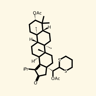 CC(=O)OC(C1SCCCS1)[C@@]12CC[C@]3(C)[C@H](CC[C@@H]4[C@@]5(C)CC[C@H](OC(C)=O)C(C)(C)[C@@H]5CC[C@]43C)C1=C(C(C)C)C(=O)C2